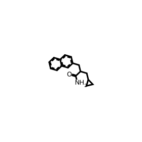 NC(=O)C(Cc1ccc2ccccc2c1)CC1CC1